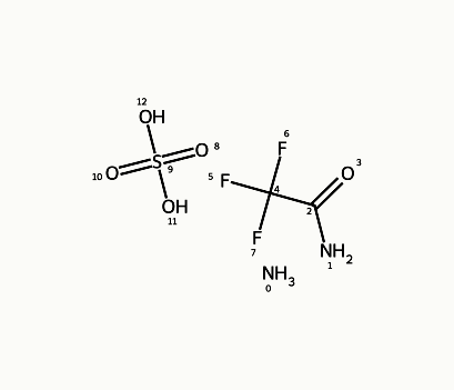 N.NC(=O)C(F)(F)F.O=S(=O)(O)O